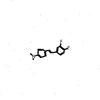 CN(C)c1ccc(C=Cc2ccc(F)c(F)c2)cc1